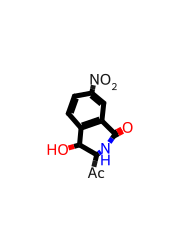 CC(=O)C1NC(=O)c2cc([N+](=O)[O-])ccc2C1O